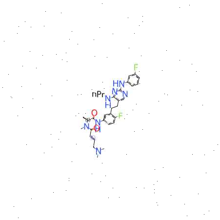 CCCNc1nc(Nc2cccc(F)c2)ncc1CCc1cc(NC(=O)[C@H](C)N(C)C(=O)/C=C/CN(C)C)ccc1F